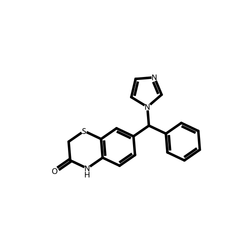 O=C1CSc2cc(C(c3ccccc3)n3ccnc3)ccc2N1